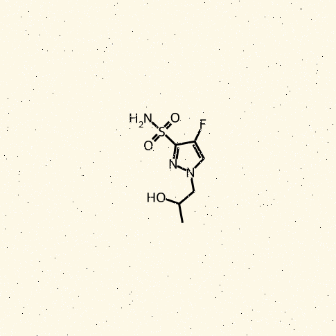 CC(O)Cn1cc(F)c(S(N)(=O)=O)n1